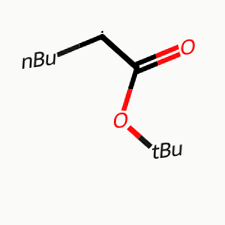 CCCC[CH]C(=O)OC(C)(C)C